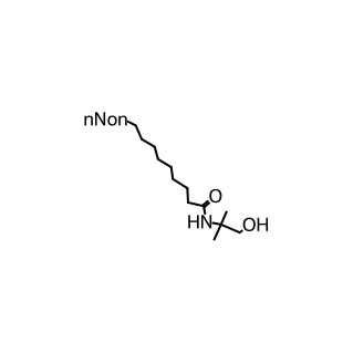 CCCCCCCCCCCCCCCCCC(=O)NC(C)(C)CO